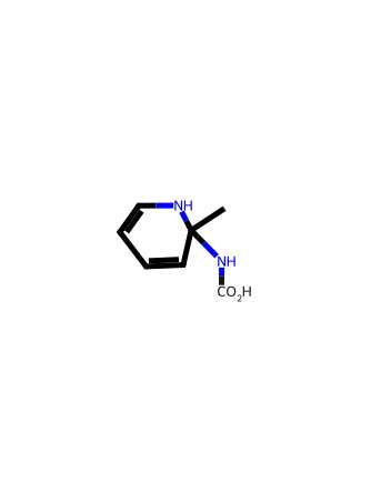 CC1(NC(=O)O)C=CC=CN1